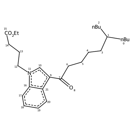 CCCCC(CCCC)CCCCC(=O)c1cn(CCCC(=O)OCC)c2ccccc12